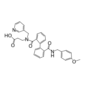 COc1ccc(CNC(=O)c2ccccc2-c2ccccc2C(=O)N(CCC(=O)O)Cc2cccnc2)cc1